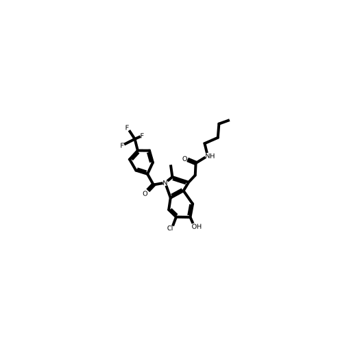 CCCCNC(=O)Cc1c(C)n(C(=O)c2ccc(C(F)(F)F)cc2)c2cc(Cl)c(O)cc12